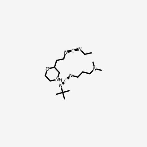 CCN=C=NCCC1CNCCO1.CN(C)CCCN=C=NC(C)(C)C